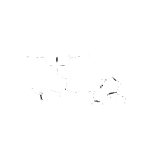 CCOP(=O)(CSC(COC(C)=O)COn1cnc2c(N)ncnc21)OCC